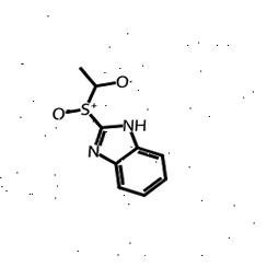 CC([O])[S+]([O-])c1nc2ccccc2[nH]1